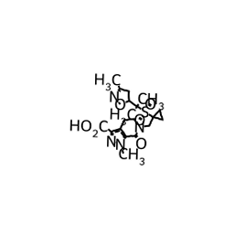 CC1=NOC(C(C)(C)S(=O)(=O)C2(CN3CCc4c(C(=O)O)nn(C)c4C3=O)CC2)C1